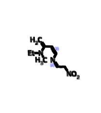 C=C(/C=C\N=C/C[N+](=O)[O-])N(C)CC